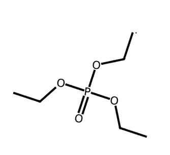 [CH2]COP(=O)(OCC)OCC